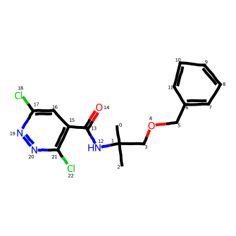 CC(C)(COCc1ccccc1)NC(=O)c1cc(Cl)nnc1Cl